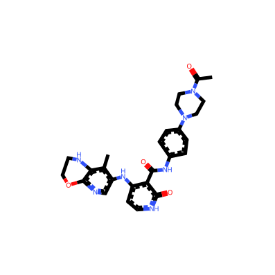 CC(=O)N1CCN(c2ccc(NC(=O)c3c(Nc4cnc5c(c4C)NCCO5)cc[nH]c3=O)cc2)CC1